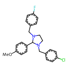 COc1ccc(C2N(Cc3ccc(F)cc3)CCN2Cc2ccc(Cl)cc2)cc1